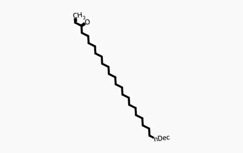 C=CC(=O)CCCCCCCCCCCCCCCCCCCCCCCCCCCCCCC